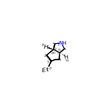 CCC1C[C@@H]2CNC[C@H]2C1